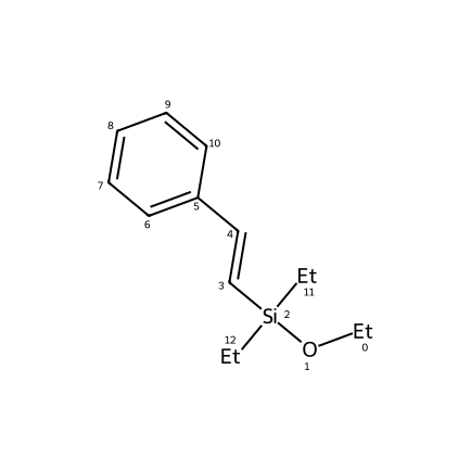 CCO[Si](C=Cc1ccccc1)(CC)CC